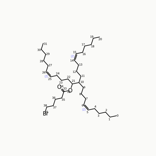 CCCCC/C=C\CCCC(CCC/C=C\CCCCC)C(CCC/C=C\CCCCC)OC(=O)CCCCBr